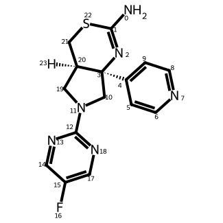 NC1=N[C@@]2(c3ccncc3)CN(c3ncc(F)cn3)C[C@H]2CS1